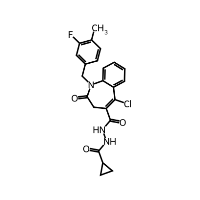 Cc1ccc(CN2C(=O)CC(C(=O)NNC(=O)C3CC3)=C(Cl)c3ccccc32)cc1F